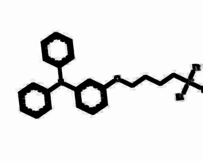 CC[N+](CC)(CC)CCCCOc1cccc(N(c2ccccc2)c2ccccc2)c1